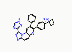 NC1(c2ccc(-c3nc4ccc5nnc(-c6nc[nH]n6)n5c4cc3-c3ccccc3)cc2)CCC1